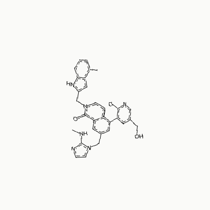 CNc1nccn1Cc1cc(-c2cc(CO)cnc2Cl)c2ccn(Cc3cc4c(C)cccc4[nH]3)c(=O)c2c1